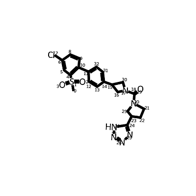 CS(=O)(=O)c1cc(Cl)ccc1-c1ccc(C2CN(C(=O)N3CCC(c4nnn[nH]4)C3)C2)cc1